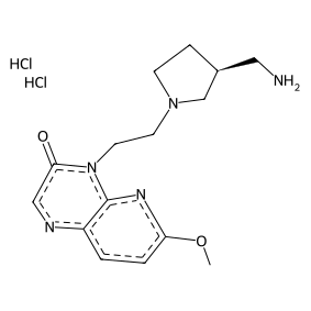 COc1ccc2ncc(=O)n(CCN3CC[C@@H](CN)C3)c2n1.Cl.Cl